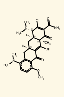 COc1ccc(N(C)C)c2c1C(=O)C1=C(O)[C@]3(C)C(=O)C(C(N)=O)=C(Cl)[C@@H](N(C)C)[C@@H]3C[C@@H]1C2